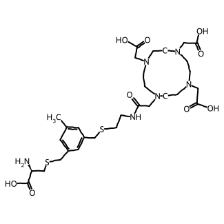 Cc1cc(CSCCNC(=O)CN2CCN(CC(=O)O)CCN(CC(=O)O)CCN(CC(=O)O)CC2)cc(CSC[C@H](N)C(=O)O)c1